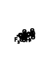 Cc1ccc(-n2c(=O)c3cc4c(=O)n(C)c(=O)c4cc3c2=O)c(C(O)(C(F)(F)F)C(F)(F)F)c1